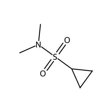 CN(C)S(=O)(=O)C1CC1